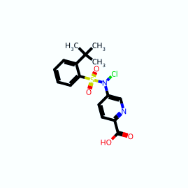 CC(C)(C)c1ccccc1S(=O)(=O)N(Cl)c1ccc(C(=O)O)nc1